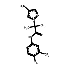 CC(C)(C(=O)Nc1ccc(C#N)c(C(F)(F)F)c1)n1cc([N+](=O)[O-])cn1